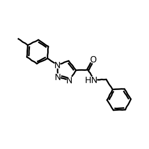 Cc1ccc(-n2cc(C(=O)NCc3ccccc3)nn2)cc1